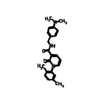 Cc1ccc(C)c(-n2cccc(C(=O)NCc3ccc(N(C)C)cc3)c2=O)c1